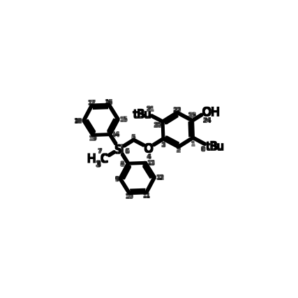 CC(C)(C)c1cc(OC[Si](C)(c2ccccc2)c2ccccc2)c(C(C)(C)C)cc1O